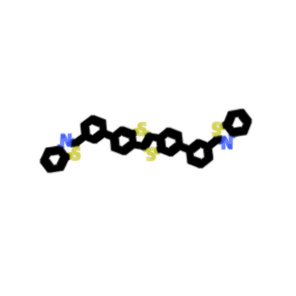 c1cc(-c2ccc3c(c2)sc2c4ccc(-c5cccc(-c6nc7ccccc7s6)c5)cc4sc32)cc(-c2nc3ccccc3s2)c1